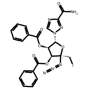 [N-]=[N+]=N[C@]1(CI)O[C@@H](n2cnc(C(N)=O)n2)[C@H](OC(=O)c2ccccc2)[C@@H]1OC(=O)c1ccccc1